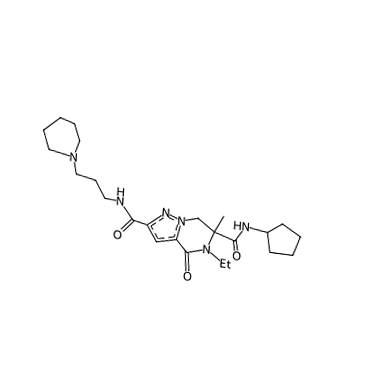 CCN1C(=O)c2cc(C(=O)NCCCN3CCCCC3)nn2CC1(C)C(=O)NC1CCCC1